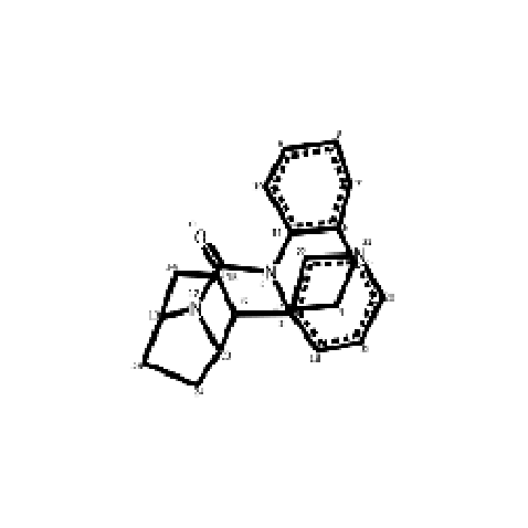 O=C(N1CCCc2ccccc21)N1C2CCC(c3cccnc3)C1CC2